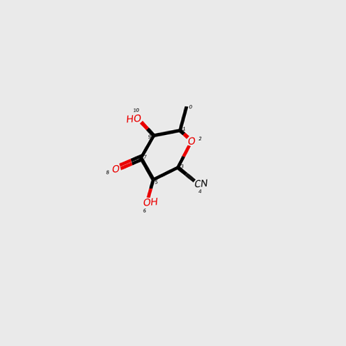 CC1OC(C#N)C(O)C(=O)C1O